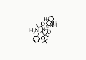 CC(N)C(=O)N(C(=O)[C@@H]1C[C@@H]2CCC[C@@H]2N1)[C@@H](Cc1ccccc1)C(=O)OC(C)(C)C